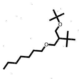 CCCCCCCOCC(COC(C)(C)C)C(C)(C)C